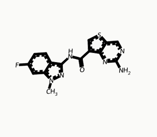 Cn1nc(NC(=O)c2csc3cnc(N)nc23)c2ccc(F)cc21